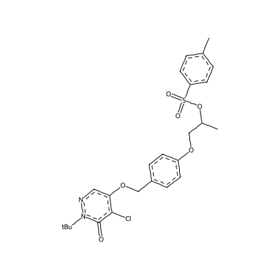 Cc1ccc(S(=O)(=O)OC(C)COc2ccc(COc3cnn(C(C)(C)C)c(=O)c3Cl)cc2)cc1